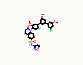 COc1cc(Cl)cc(-c2cc(OC)cc(-c3cc(OC)c(-n4c(=O)ccc5cc(S(=O)(=O)Nc6ccon6)ccc54)cc3F)c2)c1